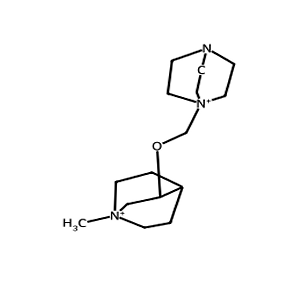 C[N+]12CCC(CC1)C(OC[N+]13CCN(CC1)CC3)C2